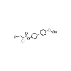 CCCCOc1ccc(-c2ccc(OC(=O)C(Cl)CC(C)C)cc2)cc1